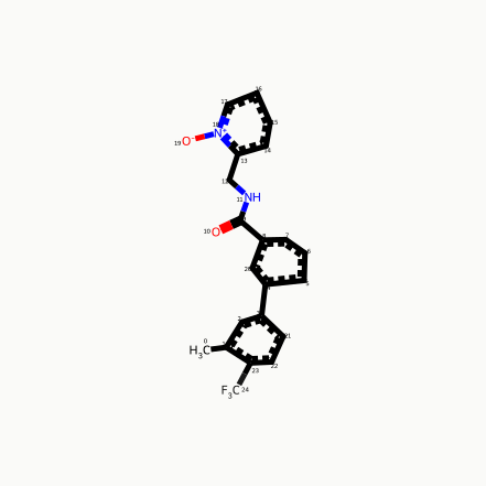 Cc1cc(-c2cccc(C(=O)NCc3cccc[n+]3[O-])c2)ccc1C(F)(F)F